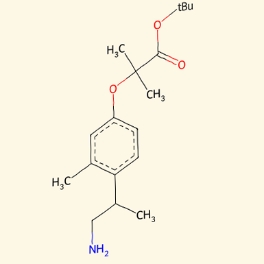 Cc1cc(OC(C)(C)C(=O)OC(C)(C)C)ccc1C(C)CN